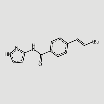 CC(C)(C)/C=C/c1ccc(C(=O)Nc2cc[nH]n2)cc1